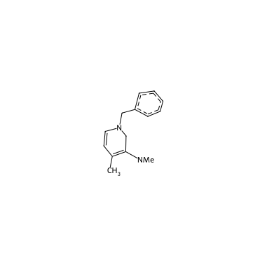 CNC1=C(C)C=CN(Cc2ccccc2)C1